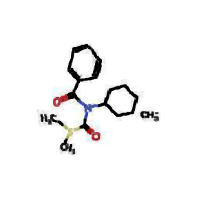 C[S+](C)C(=O)N(C(=O)c1ccccc1)C1CCCCC1.[CH3-]